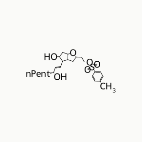 CCCCC[C@H](O)C=CC1C(O)CC2OC(CCOS(=O)(=O)c3ccc(C)cc3)CC21